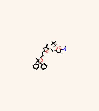 C=C1C[C@H](CCCO[Si](c2ccccc2)(c2ccccc2)C(C)(C)C)O[C@H]1CC[C@H](C[C@@H](C)C(=O)N(C)C)O[Si](C)(C)C(C)(C)C